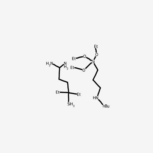 CCC([SiH3])(CC)CCC(N)N.CCCCNCCC[Si](OCC)(OCC)OCC